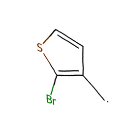 [CH2]c1ccsc1Br